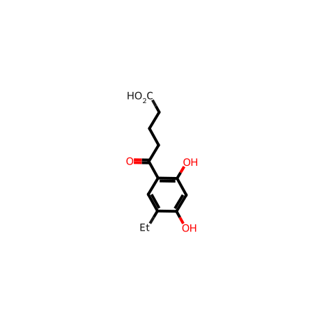 CCc1cc(C(=O)CCCC(=O)O)c(O)cc1O